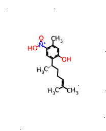 CC(C)=CCC[C@H](C)c1cc([N+](=O)O)c(C)cc1O